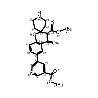 CC(C)(C)OC(=O)c1cncc(-c2ccc3c(c2)C(=O)[C@H](C(=O)OC(C)(C)C)C2(CCNCC2)O3)c1